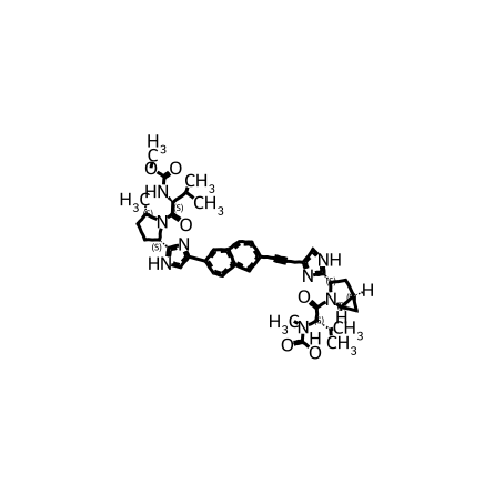 COC(=O)N[C@H](C(=O)N1[C@@H](C)CC[C@H]1c1nc(-c2ccc3cc(C#Cc4c[nH]c([C@@H]5C[C@H]6C[C@H]6N5C(=O)[C@H](C(C)C)N(C)C(=O)O)n4)ccc3c2)c[nH]1)C(C)C